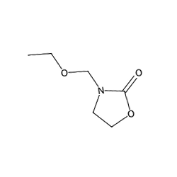 CCOCN1CCOC1=O